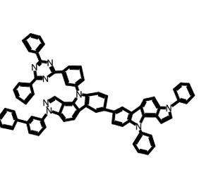 c1ccc(-c2cccc(-n3ncc4c3ccc3c5cc(-c6ccc7c(c6)c6ccc8c(ccn8-c8ccccc8)c6n7-c6ccccc6)ccc5n(-c5cccc(-c6nc(-c7ccccc7)nc(-c7ccccc7)n6)c5)c34)c2)cc1